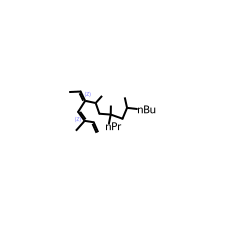 C=C/C(C)=C\C(=C/C)C(C)CC(C)(CCC)CC(C)CCCC